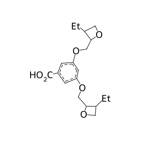 CCC1COC1COc1cc(OCC2OCC2CC)cc(C(=O)O)c1